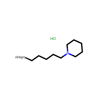 CCCCCCCCCCCCN1CCCCC1.Cl